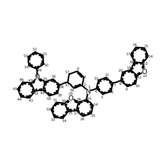 C1=CC(N(c2ccc(-c3ccc4oc5ccccc5c4c3)cc2)c2cccc3c2oc2ccccc23)=CC(c2ccc3c4ccccc4n(-c4ccccc4)c3c2)C1